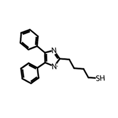 SCCCCC1=NC(c2ccccc2)=C(c2ccccc2)[N]1